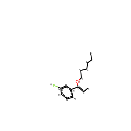 [CH2]CCCCCOC(=CC)c1cccc(F)c1